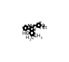 CCOc1ccc(Cc2nc3c(c4c2[nH]c2ccccc24)C(O)CC(C)(C)C3)cc1